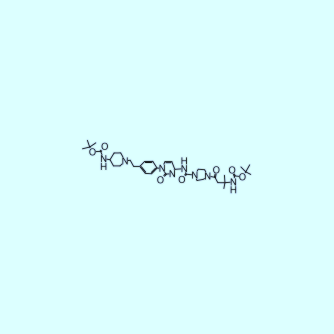 CC(C)(CC(=O)N1CCN(C(=O)Nc2ccn(-c3ccc(CCN4CCC(NC(=O)OC(C)(C)C)CC4)cc3)c(=O)n2)CC1)NC(=O)OC(C)(C)C